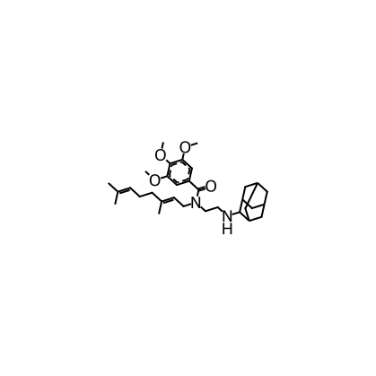 COc1cc(C(=O)N(C/C=C(\C)CCC=C(C)C)CCNC2C3CC4CC(C3)CC2C4)cc(OC)c1OC